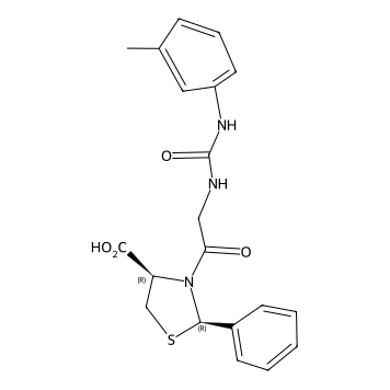 Cc1cccc(NC(=O)NCC(=O)N2[C@@H](c3ccccc3)SC[C@H]2C(=O)O)c1